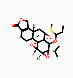 CCC(OC1[C@@]2(C(C)C)O[C@H]2[C@@H]2O[C@]23[C@]12OC2C[C@H]1C2=C(CC[C@@]13C)C(=O)OC2)SC